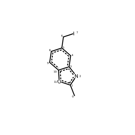 Cc1nc2cc(CI)ccc2o1